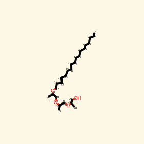 CCCCCCCCCCCCCCCCCCOC(C)COC(C)COC(C)CO